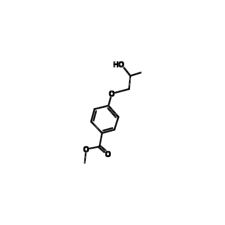 COC(=O)c1ccc(OCC(C)O)cc1